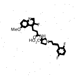 COc1ccc2ncc(F)c(CCC(=O)NC3(C(=O)O)CCN(C/C=C/c4cc(F)ccc4F)C3)c2c1